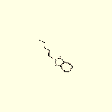 CCC/C=C/B1Oc2ccccc2O1